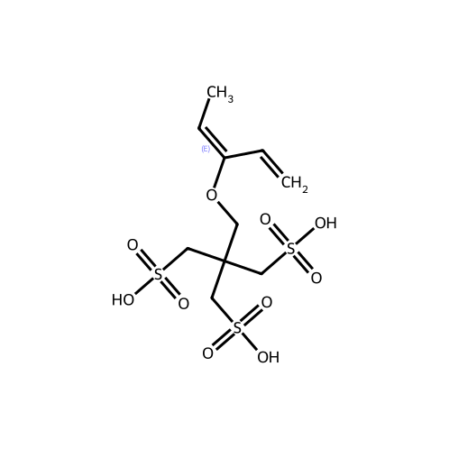 C=C/C(=C\C)OCC(CS(=O)(=O)O)(CS(=O)(=O)O)CS(=O)(=O)O